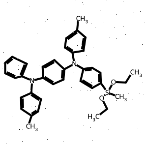 CCO[Si](C)(OCC)c1ccc(N(c2ccc(C)cc2)c2ccc(N(c3ccccc3)c3ccc(C)cc3)cc2)cc1